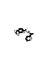 CC(=NNC(=O)c1ccc2c(c1)OCO2)c1ccccn1